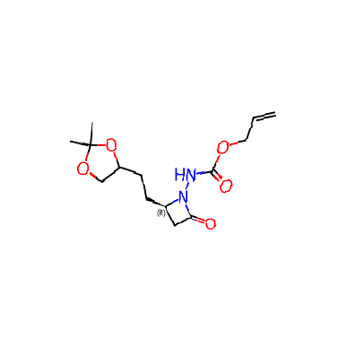 C=CCOC(=O)NN1C(=O)C[C@H]1CCC1COC(C)(C)O1